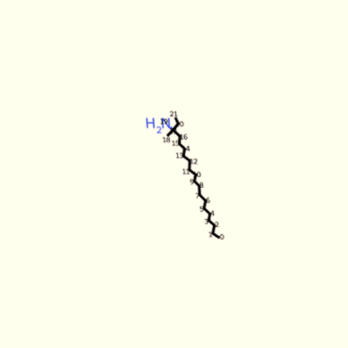 CCCCCCCCCCCCCCCCCC(C)(N)CC